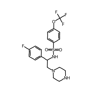 O=S(=O)(NC(CN1CCNCC1)c1ccc(F)cc1)c1ccc(OC(F)(F)F)cc1